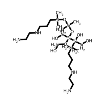 C[Si](C)(CCCNCCN)O[Si](C)(C)O[Si](O[SiH2]O)([SiH2]O)[Si](O)([SiH2]O)[Si](C)(C)CCCNCCN